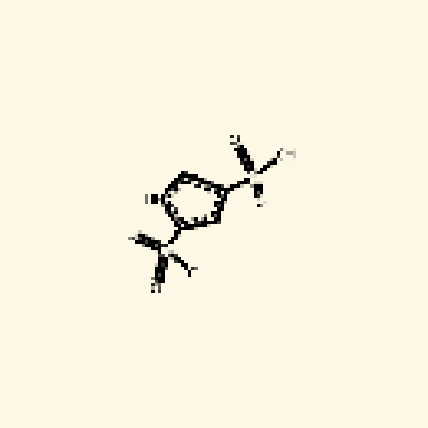 CS(=O)(=O)c1c[nH]c(S(=O)(=O)Cl)c1